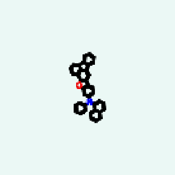 c1ccc(N(c2ccc3c(c2)oc2c4cccc5c4c(cc32)-c2ccccc2-5)c2cccc3ccccc23)cc1